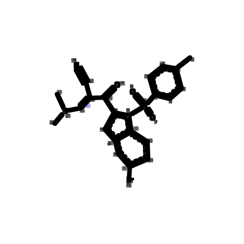 Cc1ccc(S(=O)(=O)n2c(C(=O)/C(C#N)=C/N(C)C)cc3cc(Br)ccc32)cc1